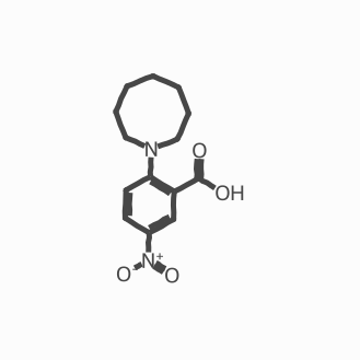 O=C(O)c1cc([N+](=O)[O-])ccc1N1CCCCCCC1